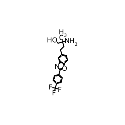 C[C@](N)(CO)CCc1ccc2oc(-c3ccc(C(F)(F)F)cc3)nc2c1